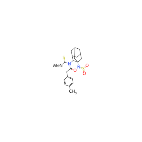 CNC(=S)N(C(=O)Cc1ccc(C)cc1)C1C2CC3CC(C2)CC1(N=S(=O)=O)C3